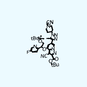 Cc1c(-c2cc(OC(CO[Si](C)(C)C(C)(C)C)c3ccc(F)cn3)c3c(C#N)c(C(=O)OC(C)(C)C)nn3c2)nnn1C1CCN(C#N)CC1